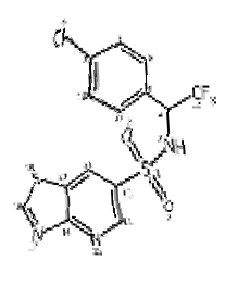 O=S(=O)(NC(c1ccc(Cl)cc1)C(F)(F)F)c1cnc2ncsc2c1